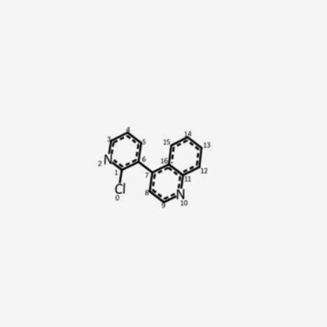 Clc1ncccc1-c1ccnc2ccccc12